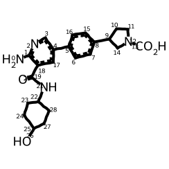 Nc1ncc(-c2ccc(C3CCN(C(=O)O)C3)cc2)cc1C(=O)NC1CCC(O)CC1